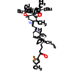 C=C1/C(=C\C=C2/CCC[C@]3(C)[C@@H]([C@H](C)CCCC(=O)c4cc(C)cs4)CC[C@@H]23)C[C@@H](O[Si](C)(C)C(C)(C)C)C[C@@H]1O[Si](C)(C)C(C)(C)C